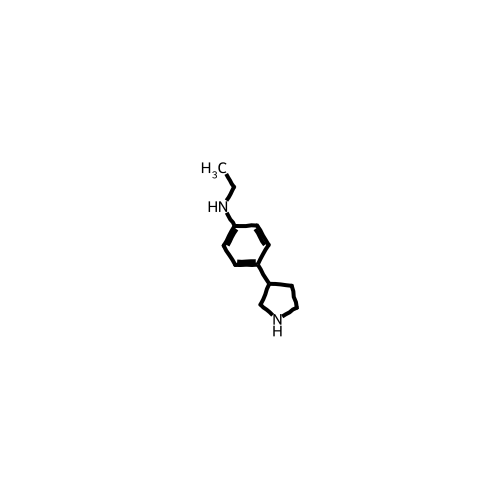 CCNc1ccc(C2CCNC2)cc1